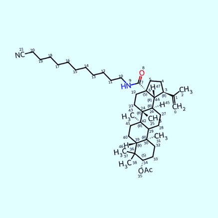 C=C(C)[C@@H]1CC[C@]2(C(=O)NCCCCCCCCCCCC#N)CC[C@]3(C)[C@H](CCC4[C@@]5(C)CC[C@H](OC(C)=O)C(C)(C)[C@@H]5CC[C@]43C)[C@@H]12